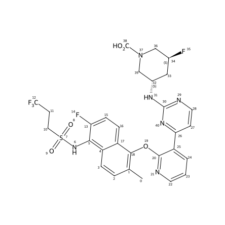 Cc1ccc2c(NS(=O)(=O)CCC(F)(F)F)c(F)ccc2c1Oc1ncccc1-c1ccnc(N[C@H]2C[C@H](F)CN(C(=O)O)C2)n1